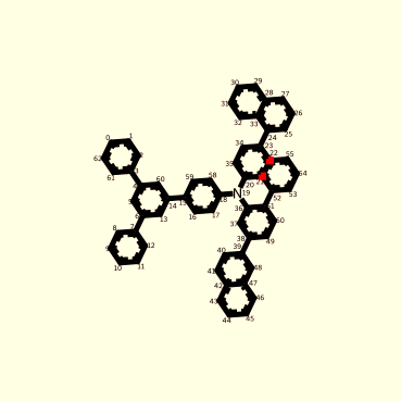 c1ccc(-c2cc(-c3ccccc3)cc(-c3ccc(N(c4ccc(-c5cccc6ccccc56)cc4)c4cc(-c5ccc6ccccc6c5)ccc4-c4ccccc4)cc3)c2)cc1